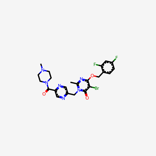 Cc1nc(OCc2ccc(F)cc2F)c(Br)c(=O)n1Cc1cnc(C(=O)N2CCN(C)CC2)cn1